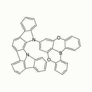 c1ccc2c(c1)Oc1cc(-n3c4ccccc4c4ccc5c6cccc7c8ccccc8n(c76)c5c43)cc3c1B2c1ccccc1O3